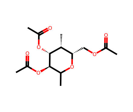 CC(=O)OC[C@@H]1OC(C)[C@@H](OC(C)=O)[C@H](OC(C)=O)[C@@H]1C